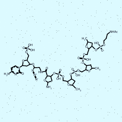 CC(=O)NCCCOP(=O)(O)OC1CC(C)OC1COP(=O)(O)OC1CC(C)OC1COP(=O)(O)OC1CC(C)OC1COP(=O)(O)OC1CC(N)OC1C(=O)NCC(N=[N+]=[N-])OC1CC(n2ccc(N)nc2=O)OC1COP(=O)(O)O